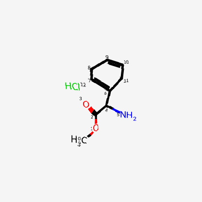 COC(=O)C(N)C1=CCC=CC1.Cl